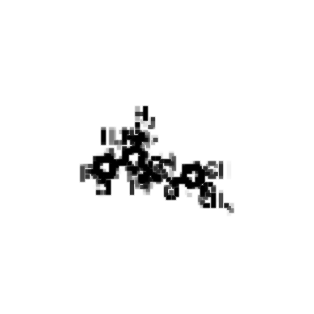 COc1cc(C(=O)NCC(O)(c2cc(C(C)(N)I)cc(-c3ccc(F)c(Cl)c3)n2)C(F)(F)F)ccc1O